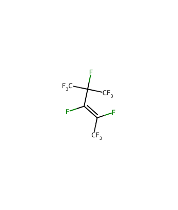 F/C(=C(/F)C(F)(C(F)(F)F)C(F)(F)F)C(F)(F)F